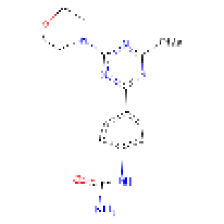 COc1nc(-c2ccc(NC(N)=O)cc2)nc(N2CCOCC2)n1